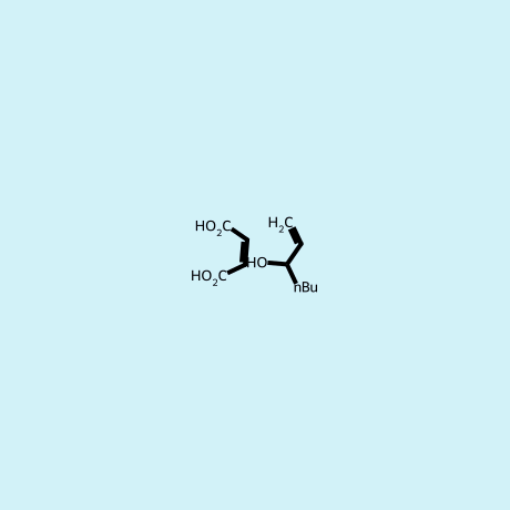 C=CC(O)CCCC.O=C(O)/C=C\C(=O)O